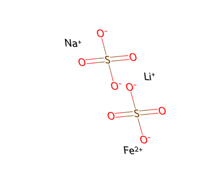 O=S(=O)([O-])[O-].O=S(=O)([O-])[O-].[Fe+2].[Li+].[Na+]